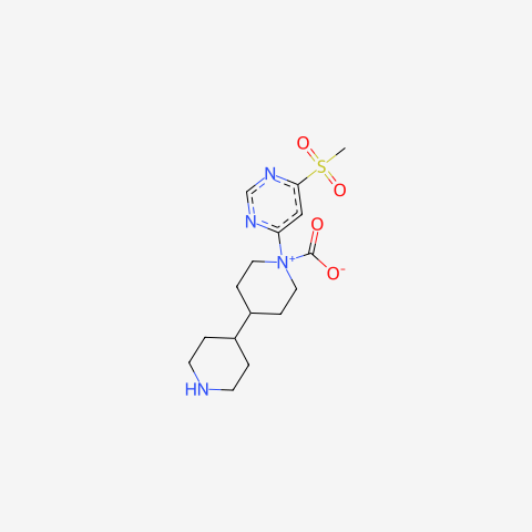 CS(=O)(=O)c1cc([N+]2(C(=O)[O-])CCC(C3CCNCC3)CC2)ncn1